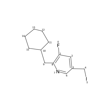 Fc1cc(CI)cnc1CC1CCCCC1